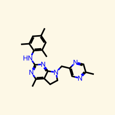 Cc1cc(C)c(Nc2nc(C)c3c(n2)N(Cc2cnc(C)cn2)CC3)c(C)c1